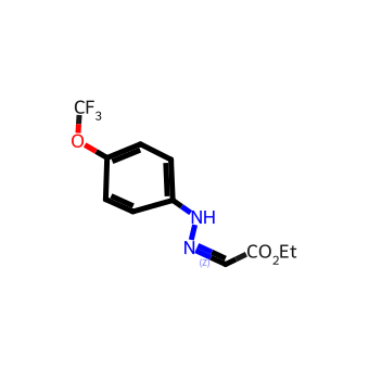 CCOC(=O)/C=N\Nc1ccc(OC(F)(F)F)cc1